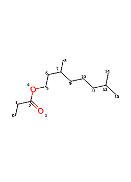 CCC(=O)OCCC(C)CCCC(C)C